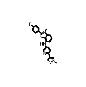 Cn1cc(-c2ccc(Nc3cccc4c3nc(-c3ccc(F)cc3)n4C)cn2)cn1